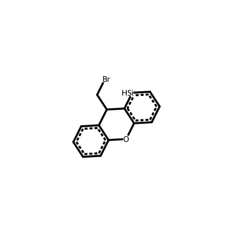 BrCC1c2ccccc2Oc2ccc[siH]c21